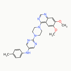 COc1cc2ncnc(N3CCN(c4ncc(Nc5ccc(C)cc5)cn4)CC3)c2cc1OC